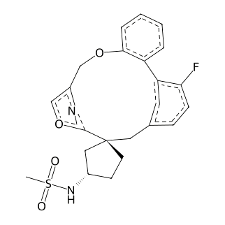 CS(=O)(=O)N[C@H]1CC[C@@]2(Cc3ccc(F)c(c3)-c3ccccc3OCc3coc2n3)C1